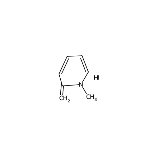 C=C1C=CC=CN1C.I